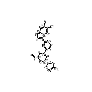 C=C[C@@H]1CN(c2ccnc(-c3cnc4cc(F)c(Cl)cn34)n2)C[C@H](c2nc(C)no2)O1